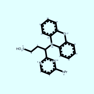 CCCc1ccnc(C(CCS(=O)(=O)O)N2c3ccccc3Oc3ccccc32)n1